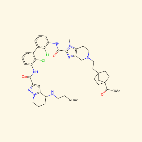 COC(=O)C12CCC(CCN3CCc4c(nc(C(=O)Nc5cccc(-c6cccc(NC(=O)c7cc8n(n7)CCCC8NCCNC(C)=O)c6Cl)c5Cl)n4C)C3)(CC1)C2